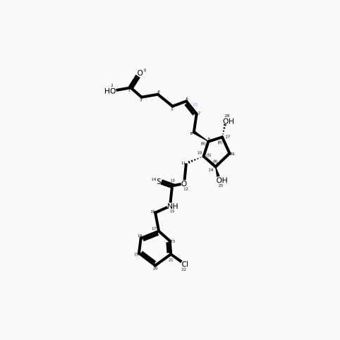 O=C(O)CCC/C=C\C[C@@H]1[C@@H](COC(=S)NCc2cccc(Cl)c2)[C@H](O)C[C@H]1O